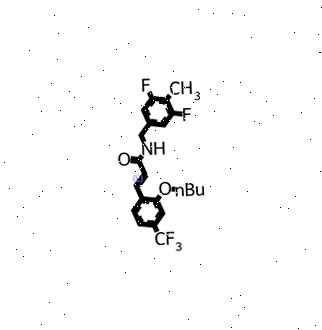 CCCCOc1cc(C(F)(F)F)ccc1/C=C/C(=O)NCc1cc(F)c(C)c(F)c1